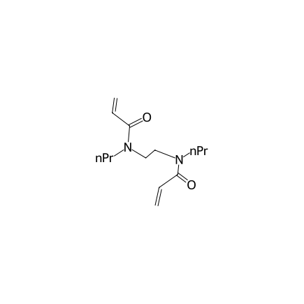 C=CC(=O)N(CCC)CCN(CCC)C(=O)C=C